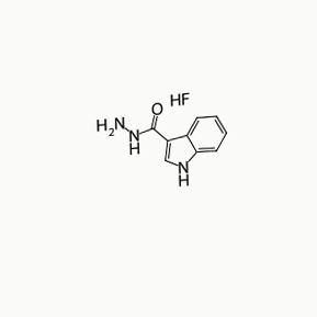 F.NNC(=O)c1c[nH]c2ccccc12